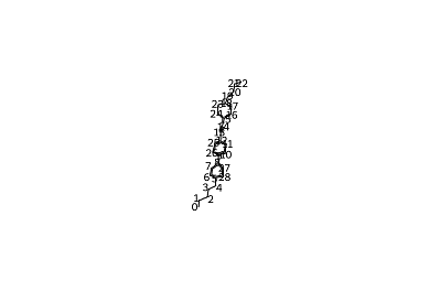 CCCCCc1ccc(-c2ccc(C#CC3=CCC(CCCC)CC3)cc2)cc1